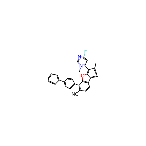 Cc1ccc2c(oc3c(-c4ccc(-c5ccccc5)cc4)c(C#N)ccc32)c1-c1cc(F)nc[n+]1C